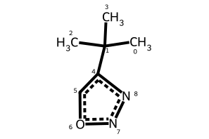 CC(C)(C)c1conn1